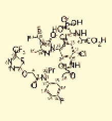 CC(C)N(C(=O)COc1nnc(C(F)(F)F)s1)c1ccc(F)cc1.Cc1nn(-c2cc(NS(C)(=O)=O)c(Cl)cc2Cl)c(=O)n1C(F)F.O=C(O)CNCP(=O)(O)O